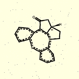 O=C1C[C@@H]2CCn3c2c1c1ccccc1sc1ccccc13